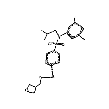 Cc1cc(C)cc(N(CC(C)C)S(=O)(=O)c2ccc(COCC3COC3)cc2)c1